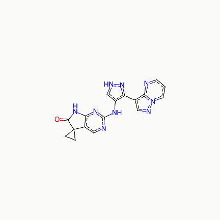 O=C1Nc2nc(Nc3c[nH]nc3-c3cnn4cccnc34)ncc2C12CC2